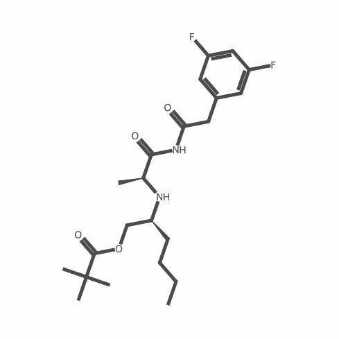 CCCC[C@@H](COC(=O)C(C)(C)C)N[C@@H](C)C(=O)NC(=O)Cc1cc(F)cc(F)c1